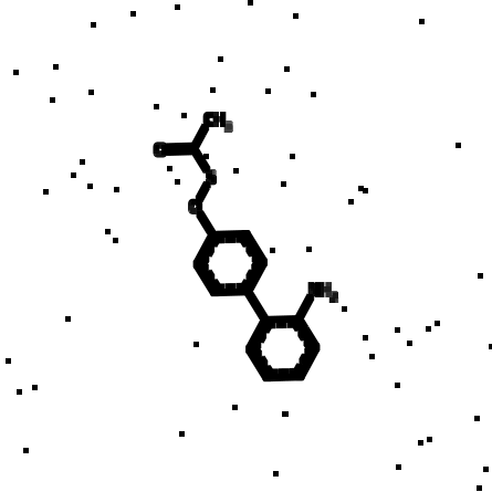 CC(=O)SOc1ccc(-c2ccccc2N)cc1